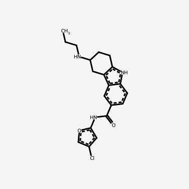 CCCNC1CCc2[nH]c3ccc(C(=O)Nc4cc(Cl)co4)cc3c2C1